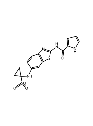 O=C(Nc1nc2ccc(NC3([SH](=O)=O)CC3)cc2s1)c1ccc[nH]1